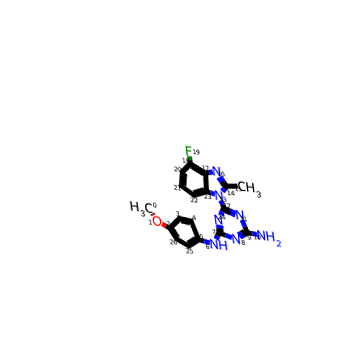 COc1ccc(Nc2nc(N)nc(-n3c(C)nc4c(F)cccc43)n2)cc1